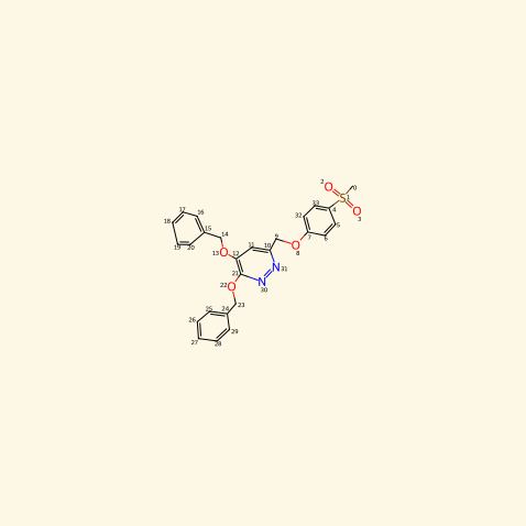 CS(=O)(=O)c1ccc(OCc2cc(OCc3ccccc3)c(OCc3ccccc3)nn2)cc1